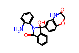 Nc1ccccc1N1C(=O)c2ccccc2C1(O)c1ccc2c(c1)NC(=O)CO2